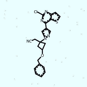 N#CCC1(n2cc(-c3nc(Cl)nc4ccsc34)cn2)CC(OCc2ccccc2)C1